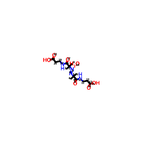 CC(C)(/N=N/C(C)(C)C(=O)NCCC(=O)O)C(=O)NCCC(=O)O.O